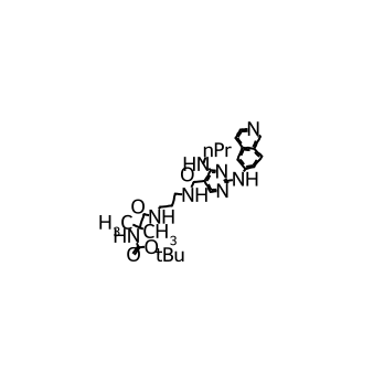 CCCNc1nc(Nc2ccc3cnccc3c2)ncc1C(=O)NCCCNC(=O)C(C)(C)NC(=O)OC(C)(C)C